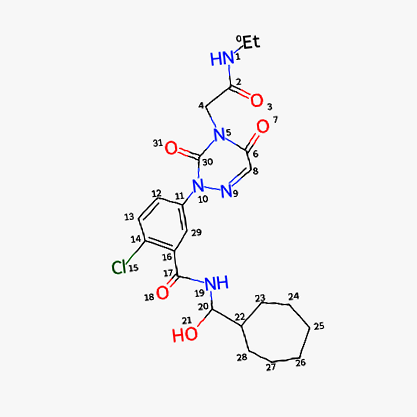 CCNC(=O)Cn1c(=O)cnn(-c2ccc(Cl)c(C(=O)NC(O)C3CCCCCC3)c2)c1=O